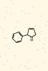 C1=CC(c2ccccc2)NC1